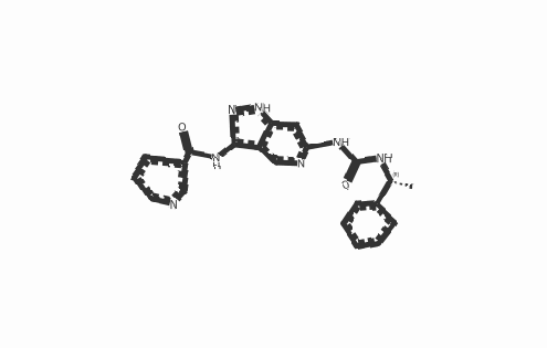 C[C@@H](NC(=O)Nc1cc2[nH]nc(NC(=O)c3cccnc3)c2cn1)c1ccccc1